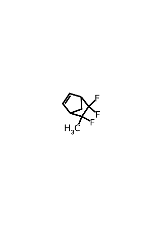 CC1(F)C2C=CC(C2)C1(F)F